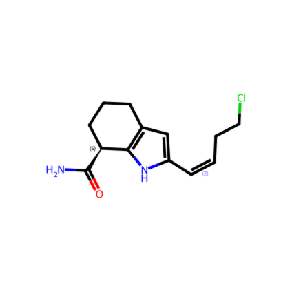 NC(=O)[C@H]1CCCc2cc(/C=C\CCCl)[nH]c21